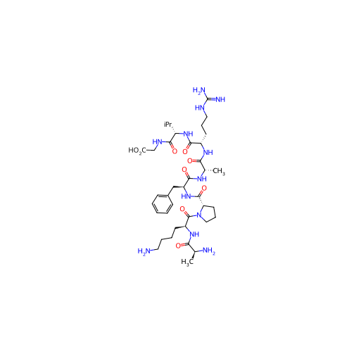 CC(C)[C@H](NC(=O)[C@H](CCCNC(=N)N)NC(=O)[C@H](C)NC(=O)[C@H](Cc1ccccc1)NC(=O)[C@@H]1CCCN1C(=O)[C@H](CCCCN)NC(=O)[C@H](C)N)C(=O)NCC(=O)O